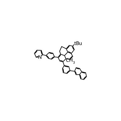 CC(C)(C)c1cc2c3c(c1)CCC1=C(c4ccc(-c5ccccn5)cc4)C=C(c4cccc(-c5ccc6ccccc6c5)c4)C(C)(C=C2)C13